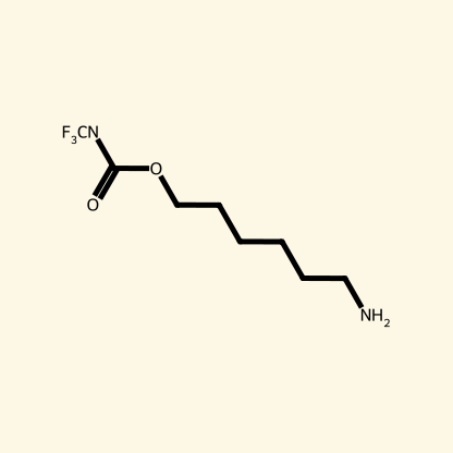 NCCCCCCOC(=O)NC(F)(F)F